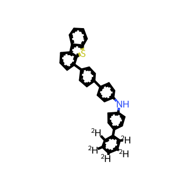 [2H]c1c([2H])c([2H])c(-c2ccc(Nc3ccc(-c4ccc(-c5cccc6c5sc5ccccc56)cc4)cc3)cc2)c([2H])c1[2H]